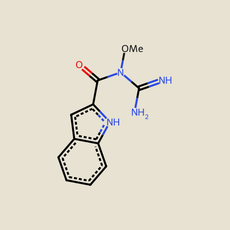 CON(C(=N)N)C(=O)c1cc2ccccc2[nH]1